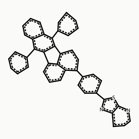 c1ccc(-c2c3c(c(-c4ccccc4)c4ccccc24)-c2ccc(-c4ccc(-c5nc6cccnc6s5)cc4)c4cccc-3c24)cc1